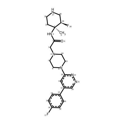 C[C@]1(NC(=O)CN2CCN(c3cc(-c4ccc(F)cc4)cnn3)CC2)CCNC[C@H]1F